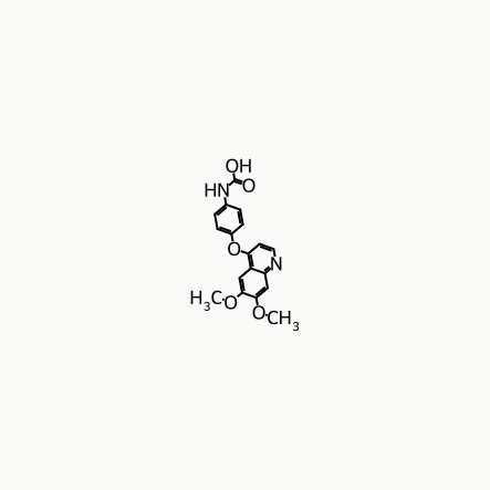 COc1cc2nccc(Oc3ccc(NC(=O)O)cc3)c2cc1OC